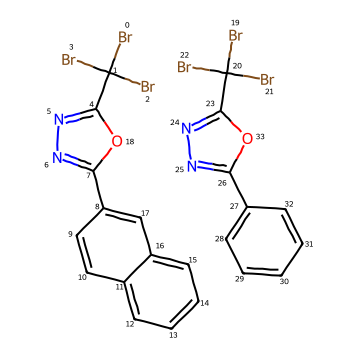 BrC(Br)(Br)c1nnc(-c2ccc3ccccc3c2)o1.BrC(Br)(Br)c1nnc(-c2ccccc2)o1